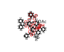 CC(=O)O[C@@H]1[C@H](O)[C@@H](OC(=O)c2ccccc2)[C@H](O[C@@H]2[C@H](O[C@@H]3O[C@@H](C)[C@@H](OCc4ccccc4)[C@@H](OCc4ccccc4)[C@@H]3OCc3ccccc3)[C@@H](OC(=O)c3ccccc3)[C@H](OCC[Si](C)(C)C)O[C@@H]2COC(=O)c2ccccc2)O[C@@H]1COC(=O)c1ccccc1